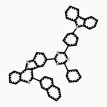 c1ccc(-c2nc(-c3ccc(-n4c5ccccc5c5ccccc54)cc3)nc(-c3ccc4sc5c6ccccc6nc(-c6ccc7ccccc7c6)c5c4c3)n2)cc1